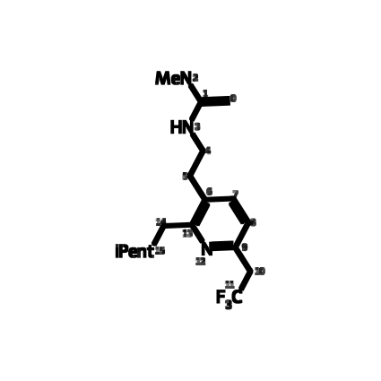 C=C(NC)NCCc1ccc(CC(F)(F)F)nc1CC(C)CCC